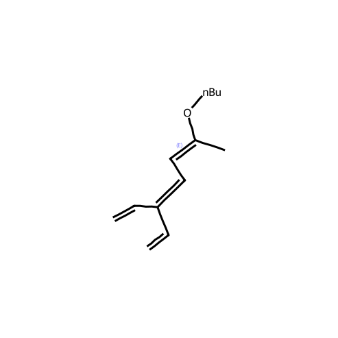 C=CC(C=C)=C/C=C(\C)OCCCC